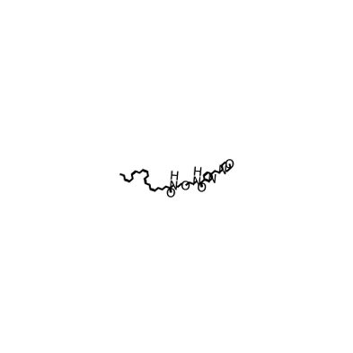 CC/C=C\C/C=C\C/C=C\C/C=C\C/C=C\CCCC(=O)NCCOCCNC(=O)c1ccc(CCN2CCOCC2)nc1